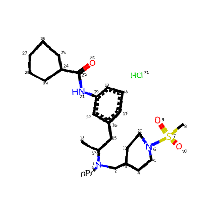 CCCN(CC1CCN(S(C)(=O)=O)CC1)C(C)Cc1cccc(NC(=O)C2CCCCC2)c1.Cl